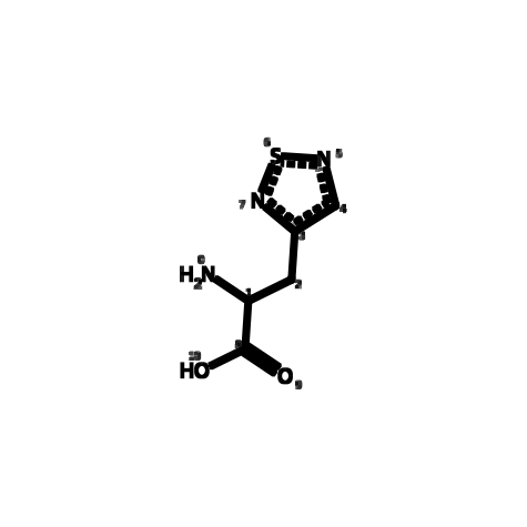 NC(Cc1cnsn1)C(=O)O